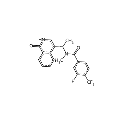 CC(c1c[nH]c(=O)c2ccccc12)N(C)C(=O)c1ccc(C(F)(F)F)c(F)c1